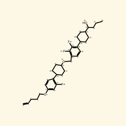 C=CCCCOc1ccc(C2CCC(OCc3ccc(C4CCC(C(O)CCC)CC4)c(F)c3F)CC2)c(F)c1